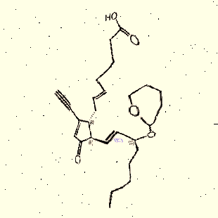 C#CC1=CC(=O)[C@H](/C=C/[C@H](CCCCC)OC2CCCCO2)[C@H]1CC=CCCCC(=O)O